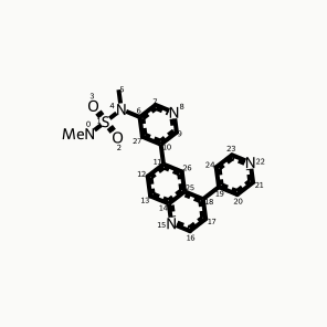 CNS(=O)(=O)N(C)c1cncc(-c2ccc3nccc(-c4ccncc4)c3c2)c1